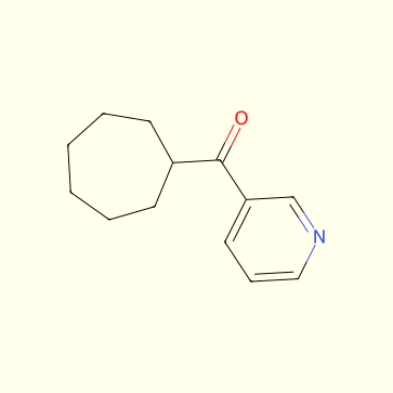 O=C(c1cccnc1)C1CCCCCC1